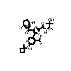 C[C@@H](NC(=O)c1nc(C(=O)N2[C@H]3CC[C@H]2CC3)c(-c2cnc(NC3(C)CCC3)cc2C(F)F)s1)C(C)(C)O